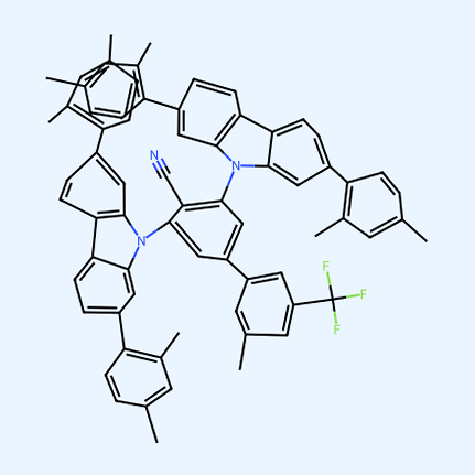 Cc1cc(-c2cc(-n3c4cc(-c5ccc(C)cc5C)ccc4c4ccc(-c5ccc(C)cc5C)cc43)c(C#N)c(-n3c4cc(-c5ccc(C)cc5C)ccc4c4ccc(-c5ccc(C)cc5C)cc43)c2)cc(C(F)(F)F)c1